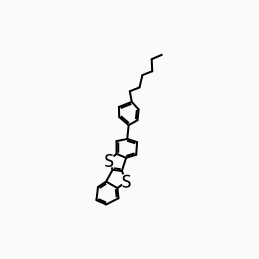 CCCCCCc1ccc(-c2ccc3c(c2)sc2c4ccccc4sc32)cc1